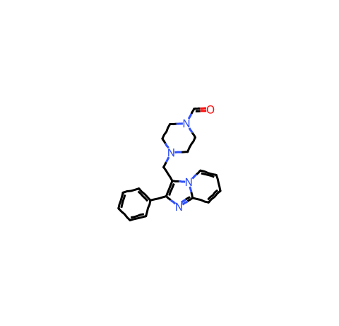 O=CN1CCN(Cc2c(-c3ccccc3)nc3ccccn23)CC1